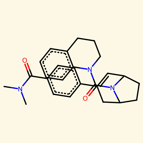 CN(C)C(=O)c1ccc(C2=CC3CCC(C2)N3C(=O)N2CCCc3ccccc32)cc1